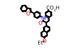 CCOc1ccc2cc(C(Cc3ccc(C(=O)O)cc3)C(=O)Nc3ccc(-c4cc5ccccc5o4)cc3)ccc2c1